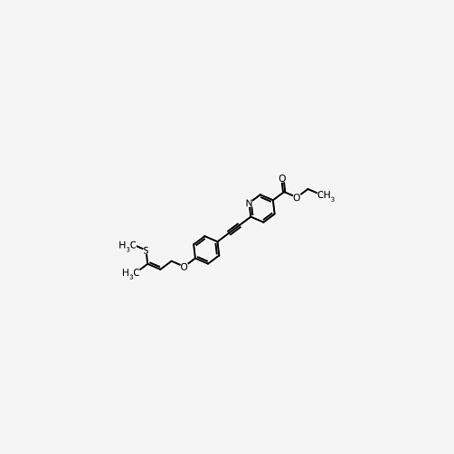 CCOC(=O)c1ccc(C#Cc2ccc(OCC=C(C)SC)cc2)nc1